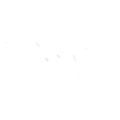 O=C(Nc1ccn(-c2ncc(F)cc2F)n1)c1ccccc1C(F)(F)F